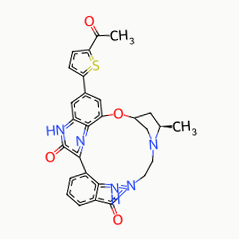 CC(=O)c1ccc(-c2cc3c4nc(c(=O)[nH]c4c2)-c2cccc4c(=O)n([nH]c24)CCN2CC(C[C@H]2C)O3)s1